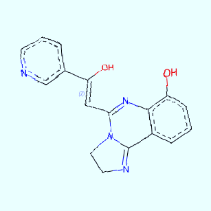 O/C(=C\C1=Nc2c(O)cccc2C2=NCCN12)c1cccnc1